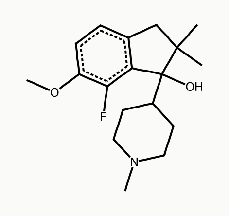 COc1ccc2c(c1F)C(O)(C1CCN(C)CC1)C(C)(C)C2